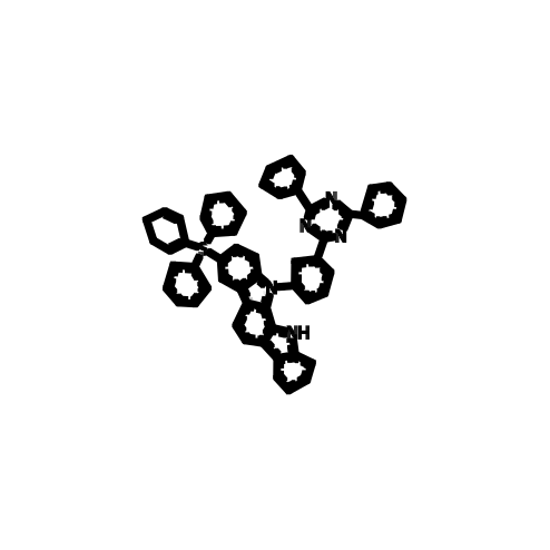 C1=CC(S(c2ccccc2)(c2ccccc2)c2ccc3c(c2)c2ccc4c5ccccc5[nH]c4c2n3-c2cccc(-c3nc(-c4ccccc4)nc(-c4ccccc4)n3)c2)=CCC1